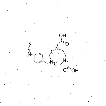 O=C(O)CN1CCN(CC(=O)O)CCN(Cc2ccc(N=C=S)cc2)CC1